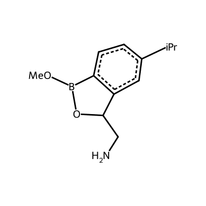 COB1OC(CN)c2cc(C(C)C)ccc21